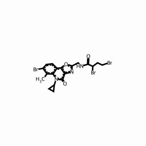 Cc1c(Br)ccc2c3oc(CNC(=O)C(Br)CCBr)nc3c(=O)n(C3CC3)c12